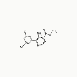 COC(=O)c1ncnc(-c2cc(Cl)cc(Cl)c2)c1N